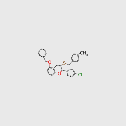 Cc1ccc(CSC(=Cc2ccccc2OCc2ccccc2)C(=O)c2ccc(Cl)cc2)cc1